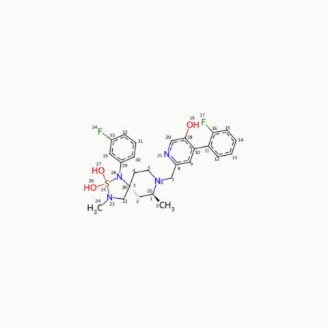 C[C@H]1C[C@]2(CCN1Cc1cc(-c3ccccc3F)c(O)cn1)CN(C)S(O)(O)N2c1cccc(F)c1